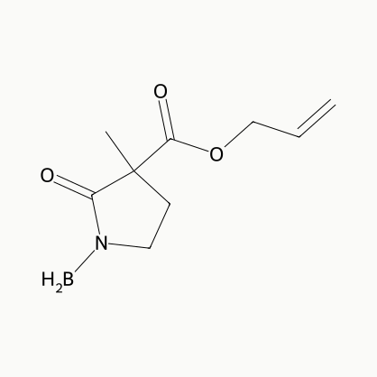 BN1CCC(C)(C(=O)OCC=C)C1=O